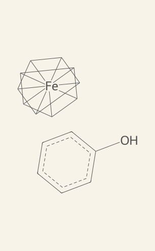 Oc1ccccc1.[CH]12[CH]3[CH]4[CH]5[CH]1[Fe]23451678[CH]2[CH]1[CH]6[CH]7[CH]28